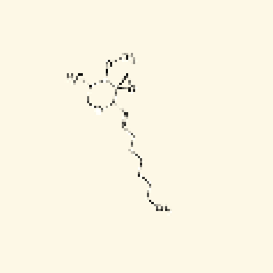 CCCCCCC/C=C/[C@@H]1OC[C@H](C)[C@@H](OC)[C@@]12CO2